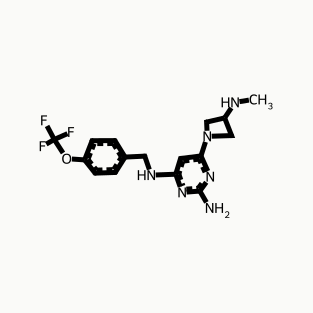 CNC1CN(c2cc(NCc3ccc(OC(F)(F)F)cc3)nc(N)n2)C1